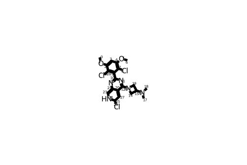 COc1cc(OC)c(Cl)c(-c2nc(N3CC(N(C)C)C3)c3c(n2)=CNC(Cl)C=3)c1Cl